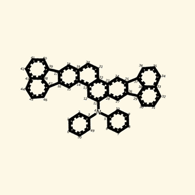 c1ccc(N(c2ccccc2)c2cc3c4cc5c(cc4ccc3c3cc4c(cc23)-c2cccc3cccc-4c23)-c2cccc3cccc-5c23)cc1